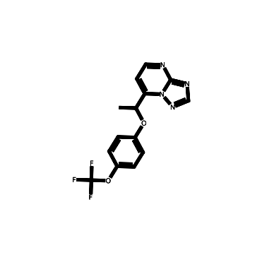 CC(Oc1ccc(OC(F)(F)F)cc1)c1ccnc2ncnn12